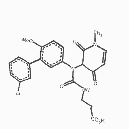 COc1ccc(N(C(=O)NCCC(=O)O)C2C(=O)C=CN(C)C2=O)cc1-c1cccc(Cl)c1